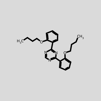 CCCCOc1ccccc1-c1ncnc(-c2ccccc2OCCCC)n1